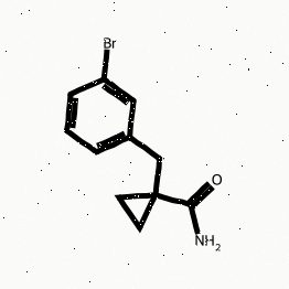 NC(=O)C1([CH]c2cccc(Br)c2)CC1